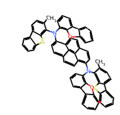 Cc1ccc2c(sc3ccccc32)c1N(c1ccc2ccc3c(N(c4cccc5c4oc4ccccc45)c4c(C)ccc5c4sc4ccccc45)ccc4ccc1c2c43)c1cccc2c1oc1ccccc12